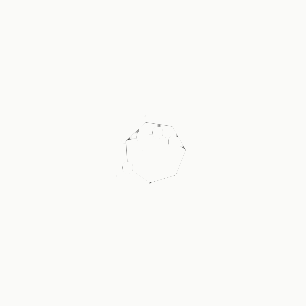 C1CC2CCC(COC2)O1